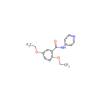 O=C(Nc1ccncc1)c1cc(OCC(F)(F)F)ccc1OCC(F)(F)F